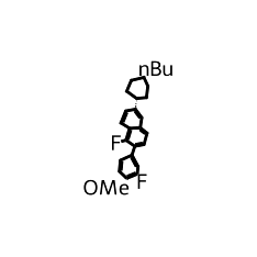 CCCC[C@H]1CC[C@H](c2ccc3c(F)c(-c4ccc(OC)c(F)c4)ccc3c2)CC1